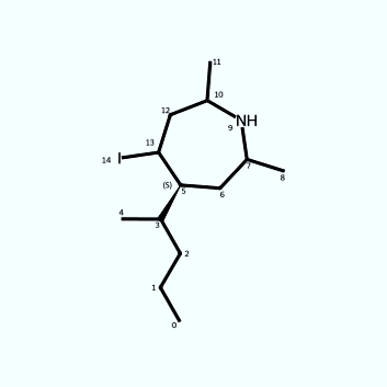 CCCC(C)[C@@H]1CC(C)NC(C)CC1I